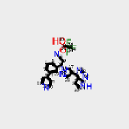 N#CCC(c1cccc(-c2ccncc2)c1)n1cc(-c2ncnc3[nH]ccc23)cn1.O=C(O)C(F)(F)F